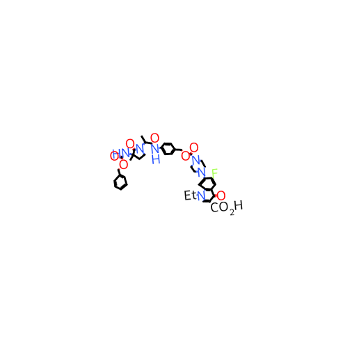 CCn1cc(C(=O)O)c(=O)c2cc(F)c(N3CCN(C(=O)OCc4ccc(NC(=O)C(C)N5CCC(C)(NC(=O)OCc6ccccc6)C5=O)cc4)CC3)cc21